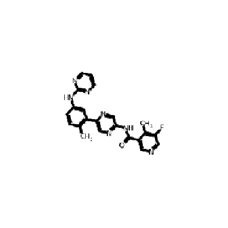 Cc1ccc(Nc2ncccn2)cc1-c1cnc(NC(=O)c2cncc(F)c2C)cn1